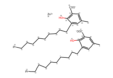 Cc1cc(CCCCCCCCCC(C)C)c(O)c(C(=O)[O-])c1.Cc1cc(CCCCCCCCCC(C)C)c(O)c(C(=O)[O-])c1.[Zn+2]